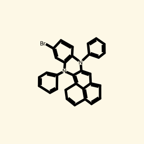 Brc1ccc2c(c1)N(c1ccccc1)c1c(cc3cccc4c3c1CC=C4)N2c1ccccc1